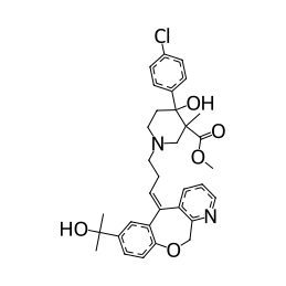 COC(=O)C1(C)CN(CC/C=C2/c3cc(C(C)(C)O)ccc3OCc3ncccc32)CCC1(O)c1ccc(Cl)cc1